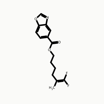 CC(CCCCOC(=O)c1ccc2ocnc2c1)=C(F)F